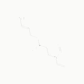 C=CN(C=O)CCC(=O)OCC=CN